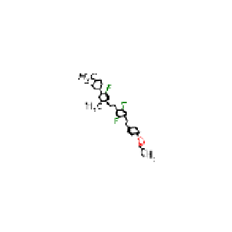 CCOc1ccc(CCc2cc(F)c(CCc3cc(F)c(C4CCC(C)CC4)cc3C)cc2F)cc1